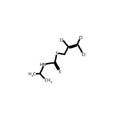 CC(C)NC(=S)SCC(Cl)=C(Cl)Cl